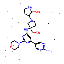 Nc1ncc(-c2cc(N[C@@]3(CO)CCN(C4CCNC4O)C3)nc(N3CCOCC3)n2)cn1